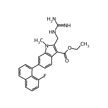 CCOC(=O)c1c(CNC(=N)N)n(C)c2cc(-c3cccc4cccc(F)c34)ccc12